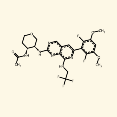 COc1cc(OC)c(F)c(-c2cc3cnc(N[C@@H]4COCC[C@@H]4NC(C)=O)nc3c(NCC(F)(F)F)n2)c1F